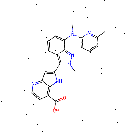 Cc1cccc(N(C)c2cccc3c(-c4cc5nccc(C(=O)O)c5[nH]4)n(C)nc23)n1